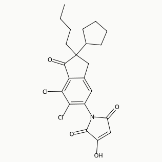 CCCCC1(C2CCCC2)Cc2cc(N3C(=O)C=C(O)C3=O)c(Cl)c(Cl)c2C1=O